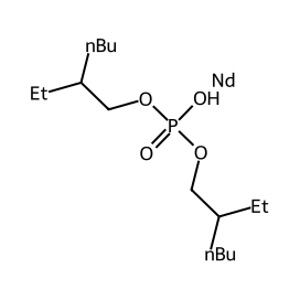 CCCCC(CC)COP(=O)(O)OCC(CC)CCCC.[Nd]